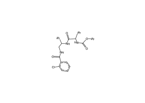 CC(C)OC(=O)NC(C(=O)NC(CNC(=O)c1ccccc1Cl)C(C)C)C(C)C